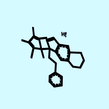 CC1=C(C)C(C)(C2(CCc3ccccc3)C=Cc3cc4c(cc32)CCCC4)C(C)=C1C.[Hf]